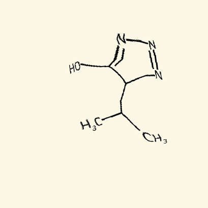 CC(C)C1N=NN=C1O